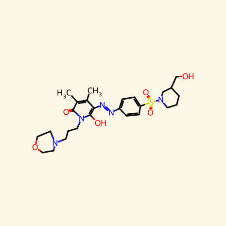 Cc1c(/N=N/c2ccc(S(=O)(=O)N3CCCC(CO)C3)cc2)c(O)n(CCCN2CCOCC2)c(=O)c1C